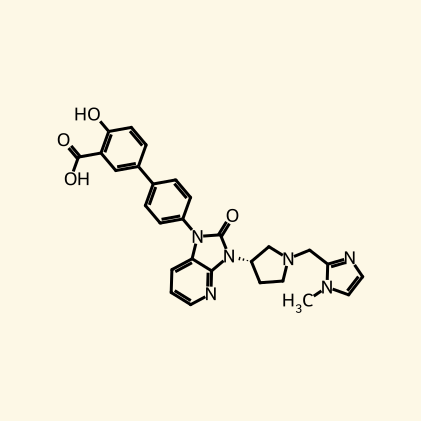 Cn1ccnc1CN1CC[C@H](n2c(=O)n(-c3ccc(-c4ccc(O)c(C(=O)O)c4)cc3)c3cccnc32)C1